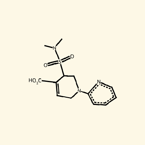 CN(C)S(=O)(=O)C1CN(c2ccccn2)CC=C1C(=O)O